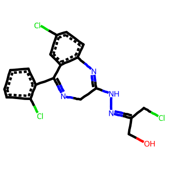 OCC(CCl)=NNC1=Nc2ccc(Cl)cc2C(c2ccccc2Cl)=NC1